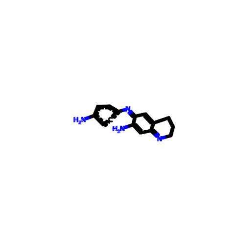 NC1=CC2=NCCCC2=C/C1=N/c1ccc(N)cc1